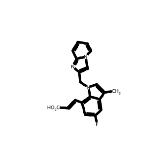 Cc1cn(Cc2cn3ccccc3n2)c2c(/C=C/C(=O)O)cc(F)cc12